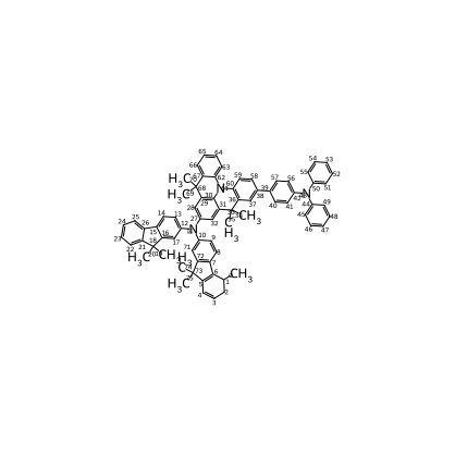 CC1CC=CC2=C1c1ccc(N(c3ccc4c(c3)C(C)(C)c3ccccc3-4)c3cc4c5c(c3)C(C)(C)c3cc(-c6ccc(N(c7ccccc7)c7ccccc7)cc6)ccc3N5c3ccccc3C4(C)C)cc1C2(C)C